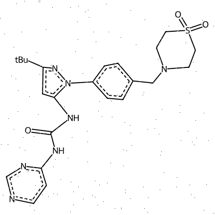 CC(C)(C)c1cc(NC(=O)Nc2ccncn2)n(-c2ccc(CN3CCS(=O)(=O)CC3)cc2)n1